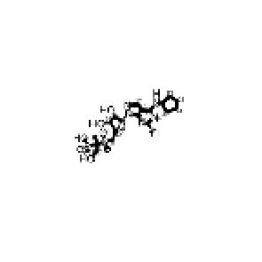 CC(CO)(P(=O)(O)O)S(=O)(=O)CC1O[C@@H](n2ncc3c(NC4CCCC4)nc(Cl)nc32)[C@H](O)[C@@H]1O